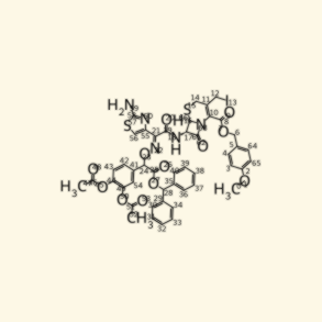 COc1ccc(COC(=O)C2=C(CI)CS[C@@H]3[C@H](NC(=O)C(=NOC(C(=O)OC(c4ccccc4)c4ccccc4)c4ccc(OC(C)=O)c(OC(C)=O)c4)c4csc(N)n4)C(=O)N23)cc1